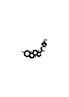 C[C@@H]1CCC2=CC[C@]3(C)C(CC[C@@]4(C)C3CC[C@@H]4[C@H](C)Cn3cc(C#N)cn3)[C@@]2(C)CC1